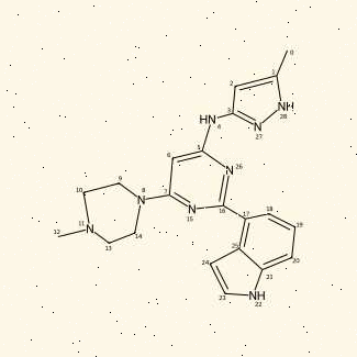 Cc1cc(Nc2cc(N3CCN(C)CC3)nc(-c3cccc4[nH]ccc34)n2)n[nH]1